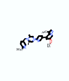 CCOc1cc(-c2ccc(N3CC(C)N(Cc4ccc(OC)nc4)[C@H](C)C3)nc2)c2c(C#N)cnn2c1